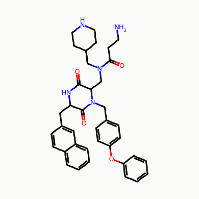 NCCC(=O)N(CC1CCNCC1)CC1C(=O)NC(Cc2ccc3ccccc3c2)C(=O)N1Cc1ccc(Oc2ccccc2)cc1